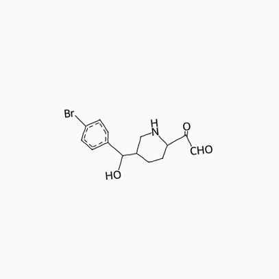 O=CC(=O)C1CCC(C(O)c2ccc(Br)cc2)CN1